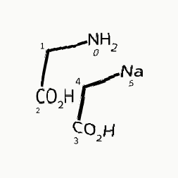 NCC(=O)O.O=C(O)[CH2][Na]